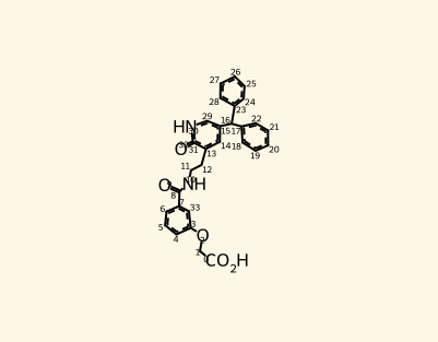 O=C(O)COc1cccc(C(=O)NCCc2cc(C(c3ccccc3)c3ccccc3)c[nH]c2=O)c1